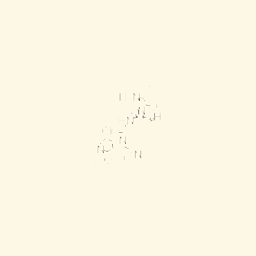 CC(C)C[C@@H]1NC(=O)[C@]2(N(C)C(=O)[C@@H](N)C3CC3)C[C@H]2CCCCCCN(C)C(=O)[C@H](Cc2cc(Cl)cnc2OC2CC2)N(C)C1=O